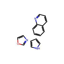 c1cc[nH]c1.c1ccc2ncccc2c1.c1cocn1